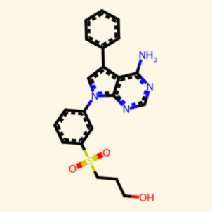 Nc1ncnc2c1c(-c1ccccc1)cn2-c1cccc(S(=O)(=O)CCCO)c1